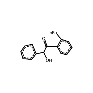 CCCCc1ccccc1C(=O)C(O)c1ccccc1